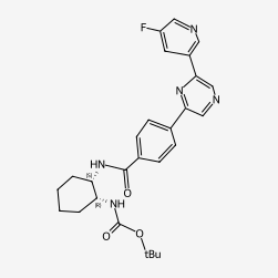 CC(C)(C)OC(=O)N[C@@H]1CCCC[C@@H]1NC(=O)c1ccc(-c2cncc(-c3cncc(F)c3)n2)cc1